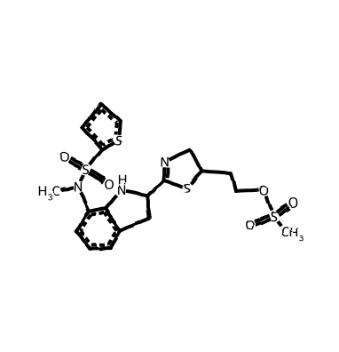 CN(c1cccc2c1NC(C1=NCC(CCOS(C)(=O)=O)S1)C2)S(=O)(=O)c1cccs1